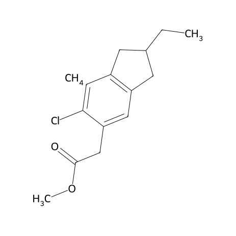 C.CCC1Cc2cc(Cl)c(CC(=O)OC)cc2C1